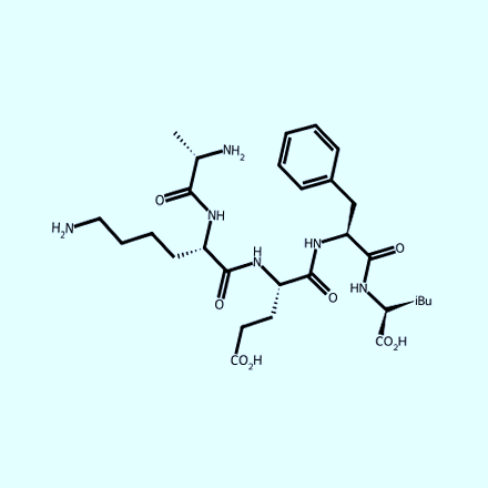 CC[C@H](C)[C@H](NC(=O)[C@H](Cc1ccccc1)NC(=O)[C@H](CCC(=O)O)NC(=O)[C@H](CCCCN)NC(=O)[C@H](C)N)C(=O)O